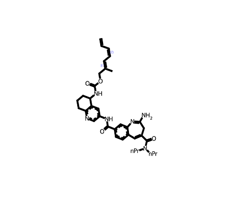 C=C/C=C\C=C(/C)COC(=O)NC1CCCc2ncc(NC(=O)c3ccc4c(c3)N=C(N)CC(C(=O)N(CCC)CCC)=C4)cc21